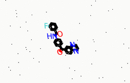 O=C(Nc1ccc(C(=O)c2ccc3nccnc3c2)cc1)c1cccc(F)c1